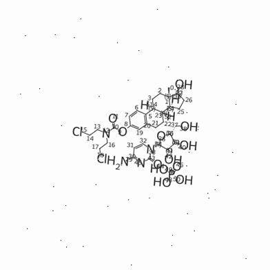 C[C@]12CC[C@@H]3c4ccc(OC(=O)N(CCCl)CCCl)cc4CC[C@H]3[C@@H]1CC[C@@H]2O.Nc1ccn([C@@H]2O[C@H](CO)[C@@H](O)[C@@H]2O)c(=O)n1.O=P(O)(O)O